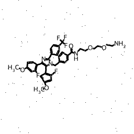 COc1ccc(-c2nc(-c3ccc(C(F)(F)F)cc3)n(Cc3ccc(C(=O)NCCOCCOCCN)cc3)c2-c2ccc(OC)cc2F)c(F)c1